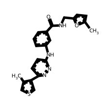 Cc1ccc(CNC(=O)c2cccc(Nc3ccc(-c4cscc4C)nn3)c2)o1